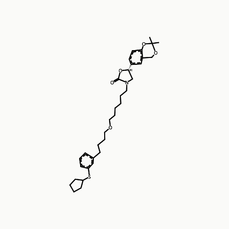 CC1(C)OCc2cc([C@@H]3CN(CCCCCCOCCCCc4cccc(SC5CCCC5)c4)C(=O)O3)ccc2O1